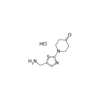 Cl.NCc1cnc(N2CCC(=O)CC2)s1